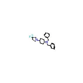 FC1(F)CCN(C2CCC(N(Cc3ccccc3)Cc3ccccc3)CC2)C1